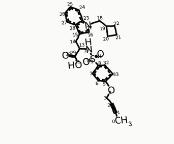 CC#CCOc1ccc(S(=O)(=O)NC(Cc2cn(CC3CCC3)c3ccccc23)C(=O)O)cc1